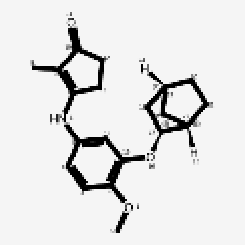 COc1ccc(NC2=C(C)C(=O)CC2)cc1O[C@H]1C[C@@H]2CC[C@H]1C2